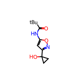 CC(C)(C)C(=O)Nc1cc(C2(O)CC2)no1